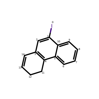 Ic1cc2c(c3ccccc13)CCC=C2